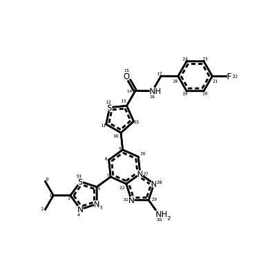 CC(C)c1nnc(-c2cc(-c3csc(C(=O)NCc4ccc(F)cc4)c3)cn3nc(N)nc23)s1